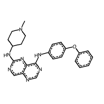 CN1CCC(Nc2ncc3ncnc(Nc4ccc(Oc5ccccc5)cc4)c3n2)CC1